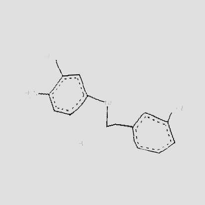 Cc1cc(NCc2cccc(O)c2)ccc1N.Cl